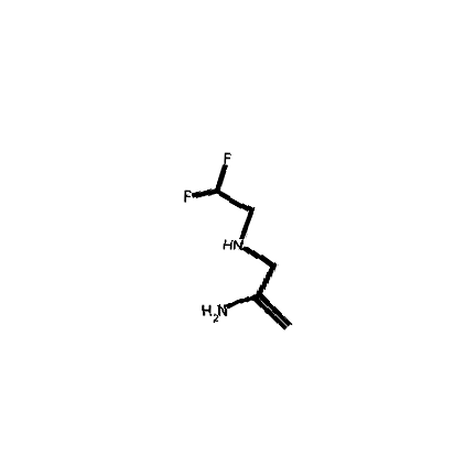 C=C(N)CNCC(F)F